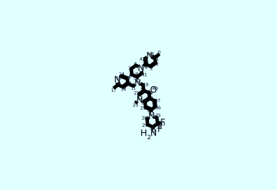 Cc1ccc(N2CCC[C@H](N(Cc3ccnc(C)c3)Cc3cn(C)c4cc(N5CCC(N)C(F)(F)C5)ccc4c3=O)C2)cn1